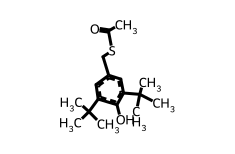 CC(=O)SCc1cc(C(C)(C)C)c(O)c(C(C)(C)C)c1